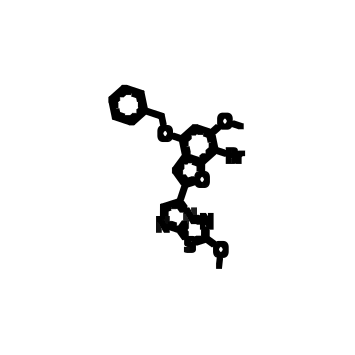 COc1nn2c(-c3cc4c(OCc5ccccc5)cc(OC)c(Br)c4o3)cnc2s1